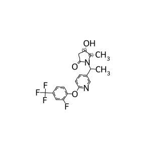 CC(c1ccc(Oc2ccc(C(F)(F)F)cc2F)nc1)N1C(=O)C[C@H](O)[C@@H]1C